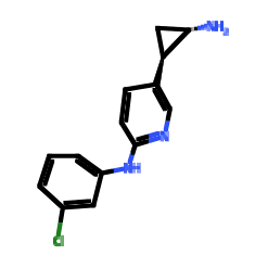 N[C@H]1C[C@@H]1c1ccc(Nc2cccc(Cl)c2)nc1